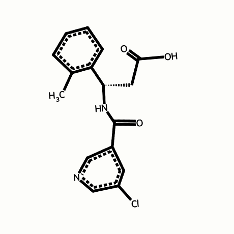 Cc1ccccc1[C@H](CC(=O)O)NC(=O)c1cncc(Cl)c1